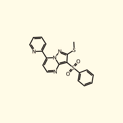 CSc1nn2c(-c3ccccn3)ccnc2c1S(=O)(=O)c1ccccc1